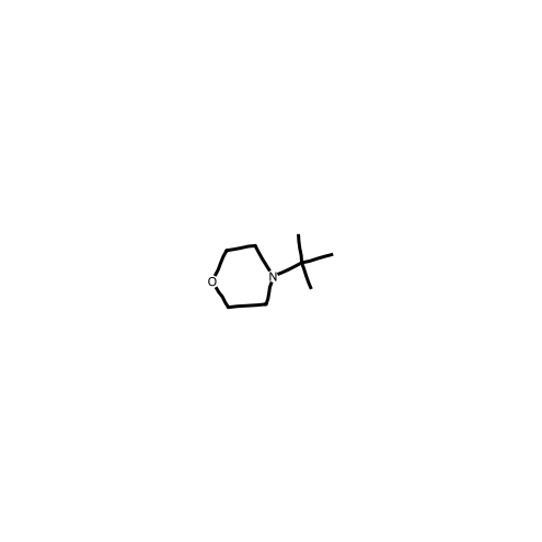 CC(C)(C)N1CCOCC1